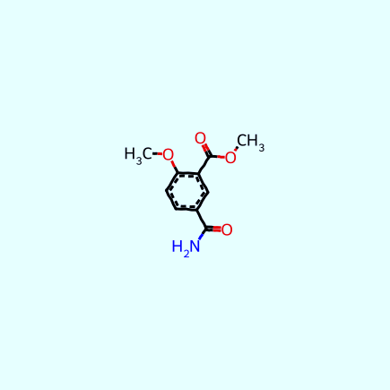 COC(=O)c1cc(C(N)=O)ccc1OC